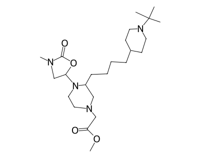 COC(=O)CN1CCN(C2CN(C)C(=O)O2)C(CCCCC2CCN(C(C)(C)C)CC2)C1